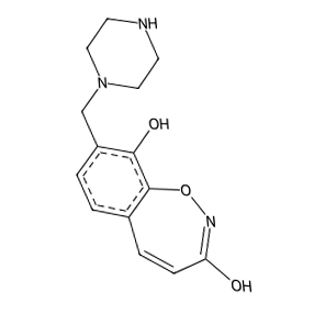 OC1=NOc2c(ccc(CN3CCNCC3)c2O)C=C1